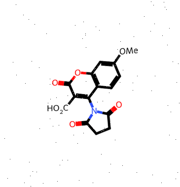 COc1ccc2c(N3C(=O)CCC3=O)c(C(=O)O)c(=O)oc2c1